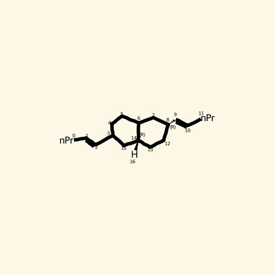 CCCC=CC1CCC2C[C@H](C=CCCC)CC[C@@H]2C1